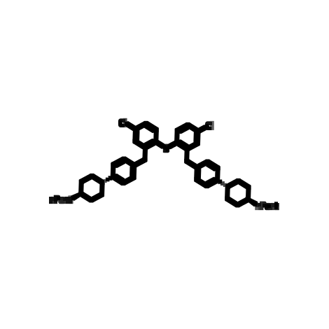 CCCCC[C@H]1CC[C@H](c2ccc(Cc3cc(Cl)ccc3Sc3ccc(Cl)cc3Cc3ccc([C@H]4CC[C@H](CCCCC)CC4)cc3)cc2)CC1